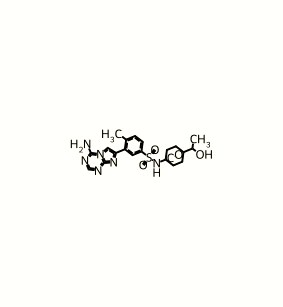 Cc1ccc(S(=O)(=O)NC23CCC(C(C)O)(CC2)OC3)cc1-c1cn2c(N)ncnc2n1